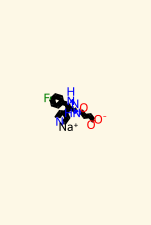 O=C([O-])CCC(=O)Nc1n[nH]c(-c2ccc(F)cc2)c1-c1ccncc1.[Na+]